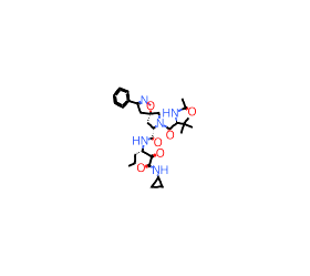 CCC[C@H](NC(=O)[C@@H]1C[C@@]2(CC(c3ccccc3)=NO2)CN1C(=O)[C@@H](NC(C)=O)C(C)(C)C)C(=O)C(=O)NC1CC1